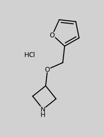 Cl.c1coc(COC2CNC2)c1